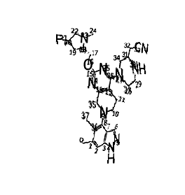 Cc1cc2[nH]ncc2c(N2CCc3c(nc(OC[C@@H]4C[C@@H](F)CN4C)nc3N3CCNC(CC#N)C3)C2)c1C